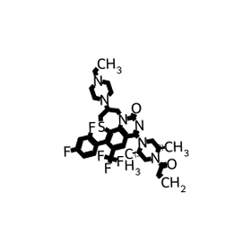 C=CC(=O)N1C[C@H](C)N(c2nc(=O)n3c4c(c(-c5ccc(F)cc5F)c(C(F)(F)F)cc24)SCC(N2CCN(CC)CC2)C3)C[C@H]1C